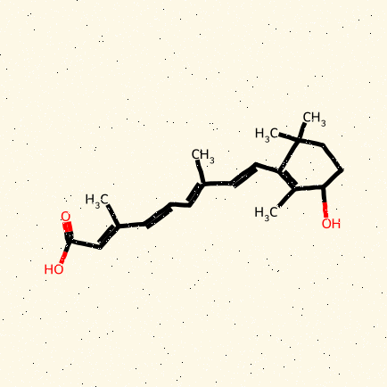 CC1=C(/C=C/C(C)=C/C=C/C(C)=C/C(=O)O)C(C)(C)CCC1O